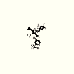 CCS(=N)(=O)c1cc(NC(=O)c2c(C(F)(F)F)c(C3CC3)nn2CC2(C)CC(F)(F)C2)ccn1